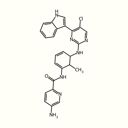 CC1C(NC(=O)c2ccc(N)cn2)=CC=CC1Nc1ncc(Cl)c(-c2c[nH]c3ccccc23)n1